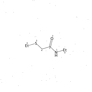 CCNC(=O)CSCC